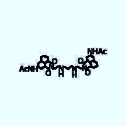 CC(=O)Nc1cc2c3c(cccc3c1)C(=O)N(CCNCCCNCCN1C(=O)c3cccc4cc(NC(C)=O)cc(c34)C1=O)C2=O